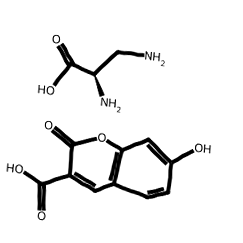 NC[C@@H](N)C(=O)O.O=C(O)c1cc2ccc(O)cc2oc1=O